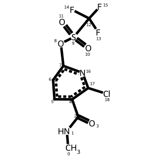 CNC(=O)c1ccc(OS(=O)(=O)C(F)(F)F)nc1Cl